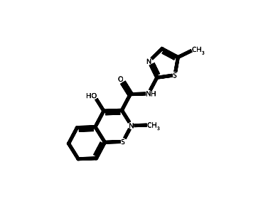 Cc1cnc(NC(=O)C2=C(O)C3=CCCC=C3SN2C)s1